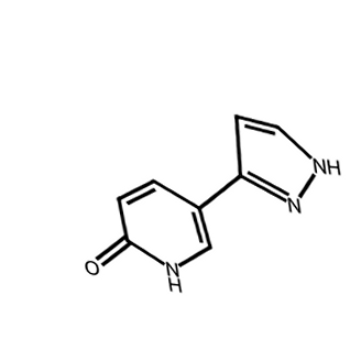 O=c1ccc(-c2cc[nH]n2)c[nH]1